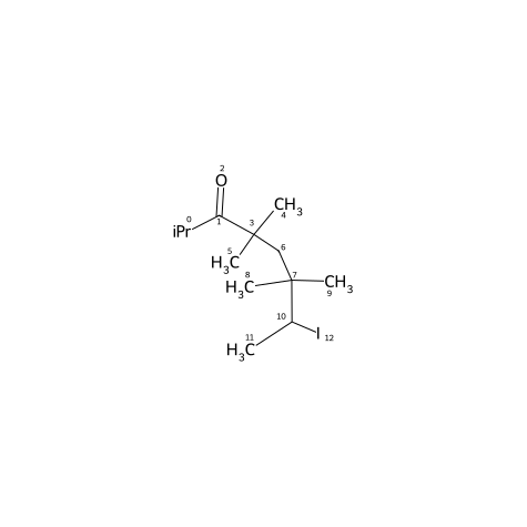 CC(C)C(=O)C(C)(C)CC(C)(C)C(C)I